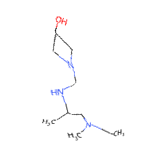 CC(CN(C)C)NCN1CC(O)C1